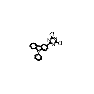 Clc1nc(Cl)nc(-c2ccc3c(c2)c2ccccc2n3-c2ccccc2)n1